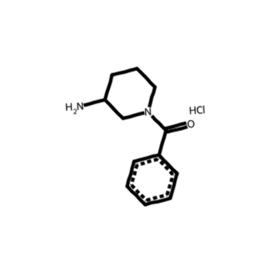 Cl.NC1CCCN(C(=O)c2ccccc2)C1